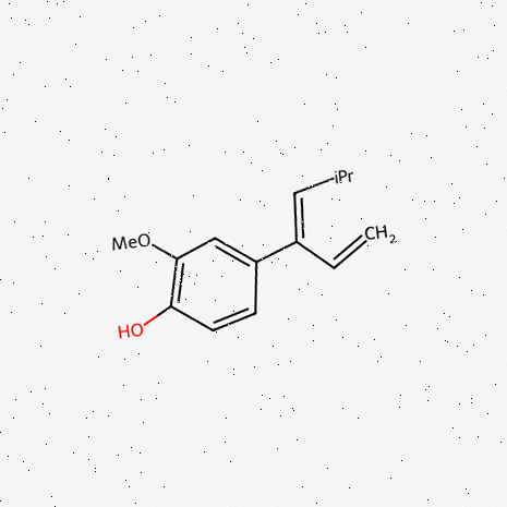 C=CC(=CC(C)C)c1ccc(O)c(OC)c1